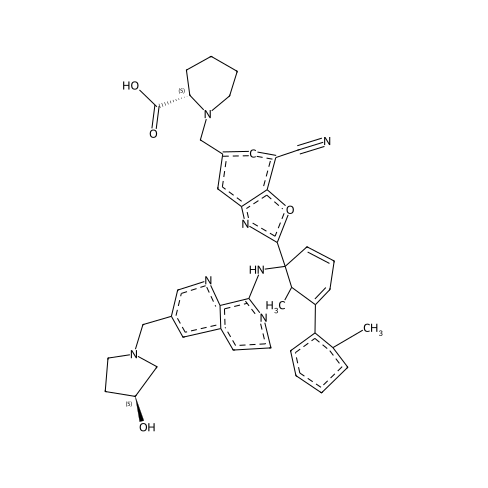 Cc1ccccc1C1=CC=CC(Nc2nccc3cc(CN4CC[C@H](O)C4)cnc23)(c2nc3cc(CN4CCCC[C@H]4C(=O)O)cc(C#N)c3o2)C1C